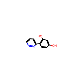 Oc1ccc(-c2cccnn2)c(O)c1